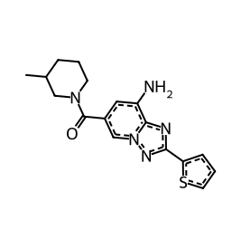 CC1CCCN(C(=O)c2cc(N)c3nc(-c4cccs4)nn3c2)C1